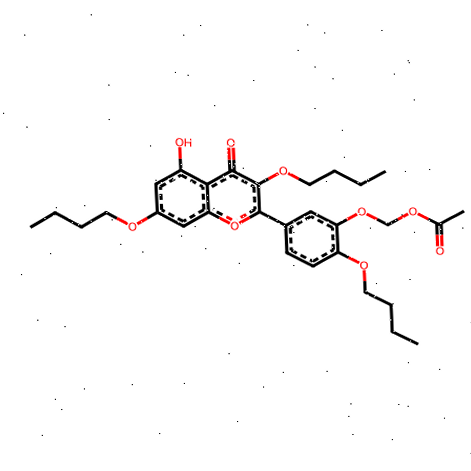 CCCCOc1cc(O)c2c(=O)c(OCCCC)c(-c3ccc(OCCCC)c(OCOC(C)=O)c3)oc2c1